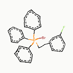 Fc1cccc(CP(Br)(c2ccccc2)(c2ccccc2)c2ccccc2)c1